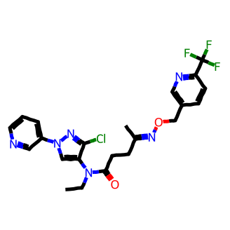 CCN(C(=O)CC/C(C)=N/OCc1ccc(C(F)(F)F)nc1)c1cn(-c2cccnc2)nc1Cl